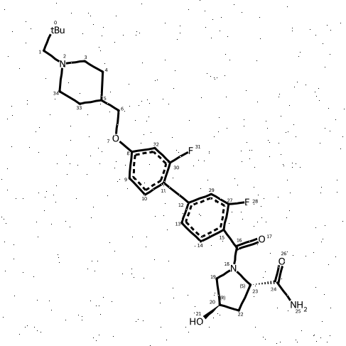 CC(C)(C)CN1CCC(COc2ccc(-c3ccc(C(=O)N4C[C@H](O)C[C@H]4C(N)=O)c(F)c3)c(F)c2)CC1